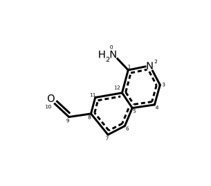 Nc1nccc2ccc(C=O)cc12